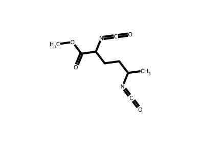 COC(=O)C(CCC(C)N=C=O)N=C=O